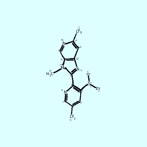 CC[S+]([O-])c1cc(C(F)(F)F)cnc1-c1nc2cc(C(F)(F)F)ncc2n1C